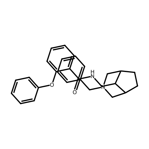 O=C(NCC1C2CCC1CN(Cc1ccccc1)C2)c1ccccc1Oc1ccccc1